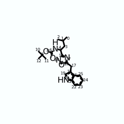 CC(C)CC(NC(=O)OC(C)(C)C)c1noc(Cc2c[nH]c3ccccc23)n1